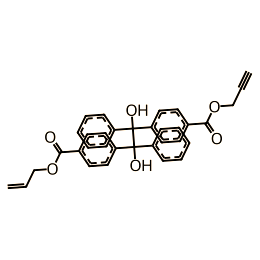 C#CCOC(=O)c1ccc(C(O)(c2ccccc2)C(O)(c2ccccc2)c2ccc(C(=O)OCC=C)cc2)cc1